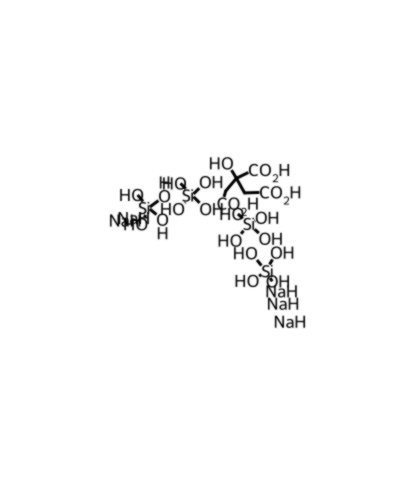 O=C(O)CC(O)(CC(=O)O)C(=O)O.O[Si](O)(O)O.O[Si](O)(O)O.O[Si](O)(O)O.O[Si](O)(O)O.[NaH].[NaH].[NaH].[NaH].[NaH]